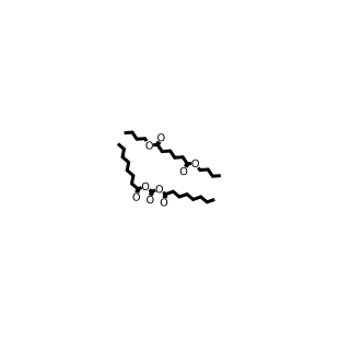 CCCCCCCC(=O)OC(=O)OC(=O)CCCCCCC.CCCCOC(=O)CCCCC(=O)OCCCC